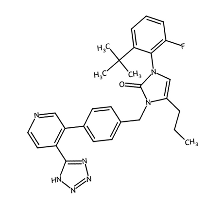 CCCc1cn(-c2c(F)cccc2C(C)(C)C)c(=O)n1Cc1ccc(-c2cnccc2-c2nnn[nH]2)cc1